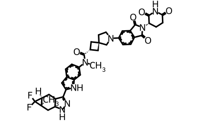 CN(c1ccc2cc(C3=NNC4C[C@]5(C)[C@H](CC34)C5(F)F)[nH]c2c1)C(=O)[C@H]1C[C@]2(CCN(c3ccc4c(c3)C(=O)N([C@H]3CCC(=O)NC3=O)C4=O)C2)C1